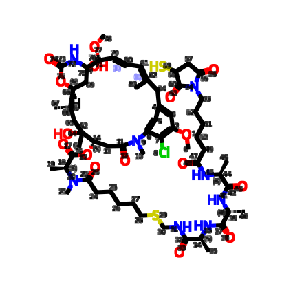 COc1cc2cc(c1Cl)N(C)C(=O)C[C@H](OC(=O)[C@H](C)N(C)C(=O)CCCCCSCNC(=O)[C@H](C)NC(=O)[C@@H](C)NC(=O)[C@H](C)NC(=O)CCCCCN1C(=O)CC(S)C1=O)C(C)(O)C[C@H](C)[C@@H]1C[C@@](O)(NC(=O)O1)[C@H](OC)/C=C/C=C(\C)C2